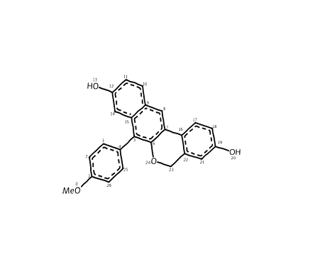 COc1ccc(-c2c3c(cc4ccc(O)cc24)-c2ccc(O)cc2CO3)cc1